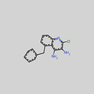 Nc1c(Cl)nc2cccc(Cc3ccccc3)c2c1N